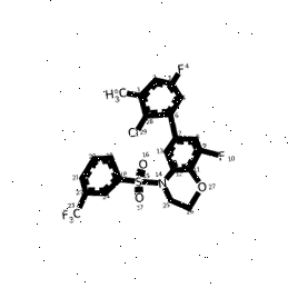 Cc1cc(F)cc(-c2cc(F)c3c(c2)N(S(=O)(=O)c2cccc(C(F)(F)F)c2)CCO3)c1Cl